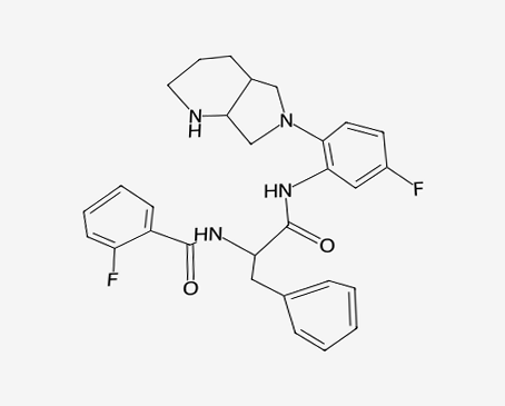 O=C(NC(Cc1ccccc1)C(=O)Nc1cc(F)ccc1N1CC2CCCNC2C1)c1ccccc1F